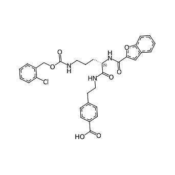 O=C(NCCC[C@H](NC(=O)c1cc2ccccc2o1)C(=O)NCCc1ccc(C(=O)O)cc1)OCc1ccccc1Cl